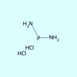 Cl.Cl.N[P]N